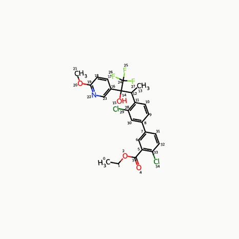 CCOC(=O)c1cc(-c2ccc(C(C)C(O)(c3ccc(OC)nc3)C(F)(F)F)c(Cl)c2)ccc1Cl